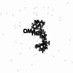 COc1ccc2ncc(CF)c(CCCC3(CO)CCN(CCNc4cc(F)cc(F)c4F)CC3)c2c1